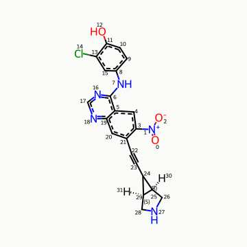 O=[N+]([O-])c1cc2c(Nc3ccc(O)c(Cl)c3)ncnc2cc1C#CC1[C@H]2CNC[C@@H]12